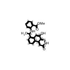 COC(=O)c1ccccc1NC(C)c1cccc2c1cc(O)c1n[nH]c(=O)cc12